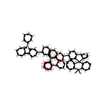 CC1(C)c2ccccc2C2(c3ccccc3-c3ccc(-c4ccc(N(c5cccc(-c6ccc7c8ccccc8n(-c8ccccc8)c7c6)c5)c5ccccc5-c5ccccc5-c5ccccc5-c5ccccc5)cc4)cc32)c2ccccc21